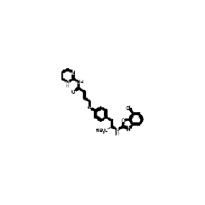 O=C(CCCOc1ccc(C[C@H](Nc2nc3cccc(Cl)c3o2)C(=O)O)cc1)NC1=NCCCN1